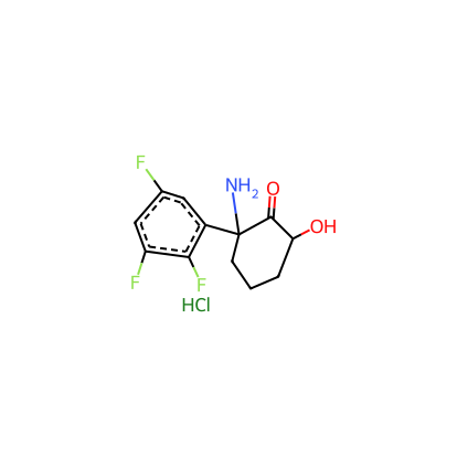 Cl.NC1(c2cc(F)cc(F)c2F)CCCC(O)C1=O